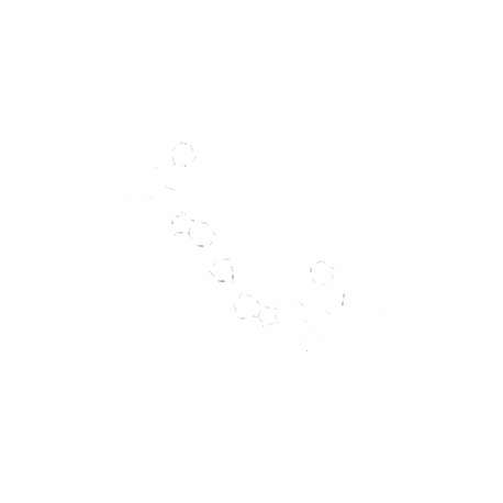 COC(=O)N[C@@H](C(=O)N1[C@@H]2C[C@@H]2C[C@H]1c1nc2cc(-c3ccc(-c4ccc5[nH]c([C@@H]6C[C@H]7C[C@H]7N6C(=O)[C@H](C)c6ccccc6)nc5c4)cc3)ccc2[nH]1)c1ccccc1